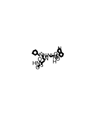 CN(Cc1ccccc1)c1cc(C=C2SC(=O)NC2=O)nc(NCCNS(=O)(=O)c2cccc3cnccc23)n1